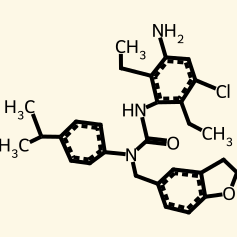 CCc1c(N)cc(Cl)c(CC)c1NC(=O)N(Cc1ccc2c(c1)CCO2)c1ccc(C(C)C)cc1